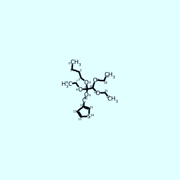 CCCCOC(OCC)(OCc1ccsc1)C(OCC)OCC